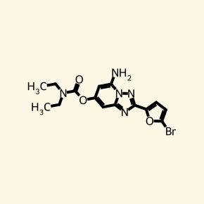 CCN(CC)C(=O)Oc1cc(N)n2nc(-c3ccc(Br)o3)nc2c1